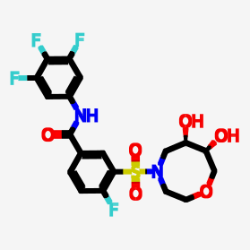 O=C(Nc1cc(F)c(F)c(F)c1)c1ccc(F)c(S(=O)(=O)N2CCOC[C@H](O)[C@H](O)C2)c1